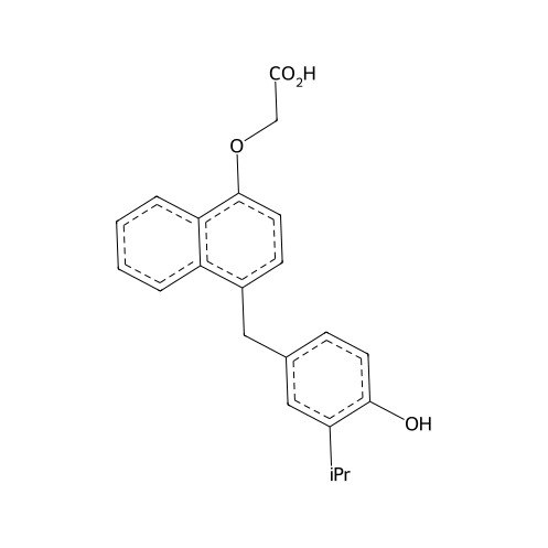 CC(C)c1cc(Cc2ccc(OCC(=O)O)c3ccccc23)ccc1O